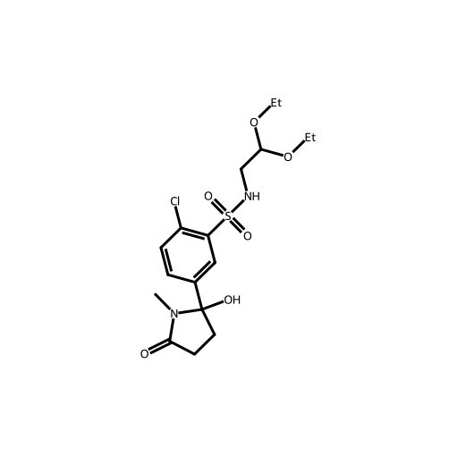 CCOC(CNS(=O)(=O)c1cc(C2(O)CCC(=O)N2C)ccc1Cl)OCC